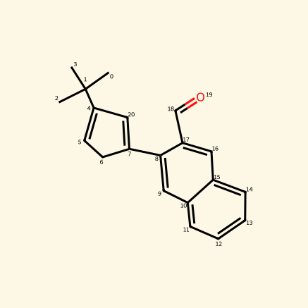 CC(C)(C)C1=CCC(c2cc3ccccc3cc2C=O)=C1